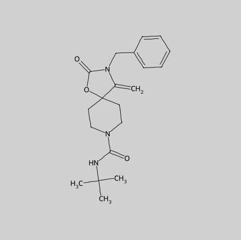 C=C1N(Cc2ccccc2)C(=O)OC12CCN(C(=O)NC(C)(C)C)CC2